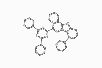 c1ccc(-c2nc(-c3ccccc3)nc(-c3cc4c(oc5cccc(-c6ccccc6)c54)c4ccccc34)n2)cc1